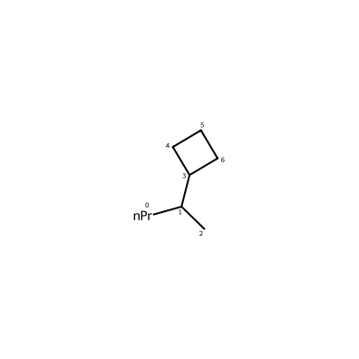 CCCC(C)C1CCC1